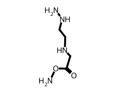 NNCCNCC(=O)ON